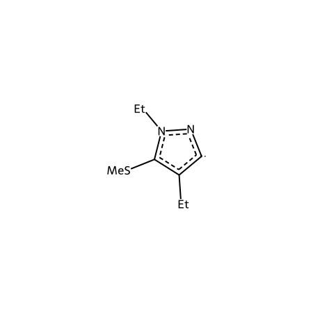 CCc1[c]nn(CC)c1SC